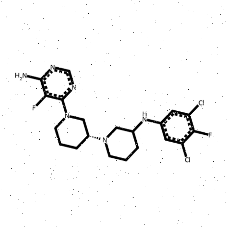 Nc1ncnc(N2CCC[C@@H](N3CCCC(Nc4cc(Cl)c(F)c(Cl)c4)C3)C2)c1F